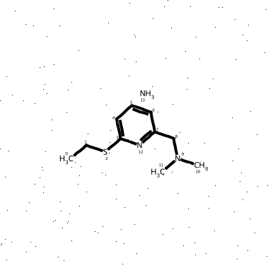 CCSc1cccc(CN(C)C)n1.N